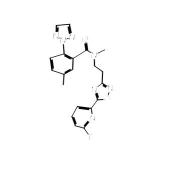 Cc1ccc(-n2nccn2)c(C(=O)N(C)CCc2noc(-c3cccc(F)n3)n2)c1